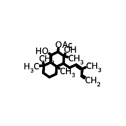 C=C/C(C)=C\CC1C(C)(O)C(OC(C)=O)C(O)C2C(C)(C)CCCC21C